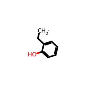 [CH2]Cc1ccccc1O